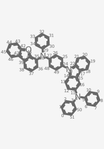 c1ccc(N(c2ccccc2)c2ccc3c(c2)c2ccccc2n3-c2ccc(N(c3ccccc3)c3cccc4c3oc3ccccc34)cc2)cc1